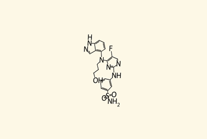 NS(=O)(=O)c1cccc(Nc2ncc(F)c(N(CCCO)c3cccc4[nH]ncc34)n2)c1